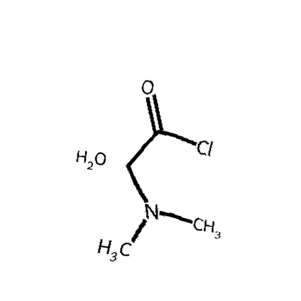 CN(C)CC(=O)Cl.O